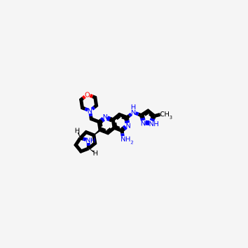 Cc1cc(Nc2cc3nc(CN4CCOCC4)c([C@H]4C[C@H]5CC[C@@H](C4)N5)cc3c(N)n2)n[nH]1